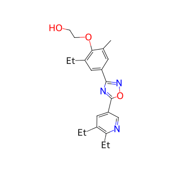 CCc1cc(-c2nc(-c3cc(C)c(OCCO)c(CC)c3)no2)cnc1CC